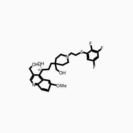 COc1ccc2ncc(CO)c([C@H](O)CCC3(CO)CCN(CCSc4cc(F)cc(F)c4F)CC3)c2c1